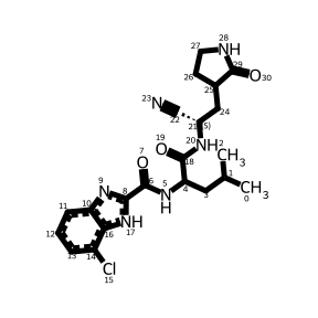 CC(C)CC(NC(=O)c1nc2cccc(Cl)c2[nH]1)C(=O)N[C@H](C#N)CC1CCNC1=O